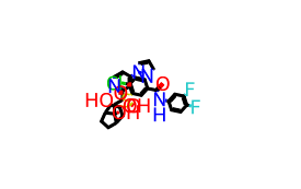 O=C(Nc1ccc(F)c(F)c1)c1ccc(Cl)c(S(=O)(=O)C2CC3CCC(C2)C3(O)C(O)C(O)c2cc(-n3cccn3)ccn2)c1